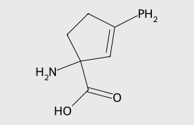 NC1(C(=O)O)C=C(P)CC1